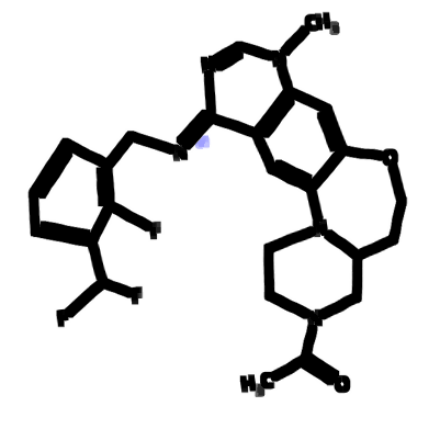 CC(=O)N1CCN2c3cc4/c(=N/Cc5cccc(C(F)F)c5F)ncn(C)c4cc3OCCC2C1